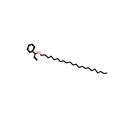 C=CC(OCCCCCCCCCCCCCCCCCCCCCC)c1ccccc1